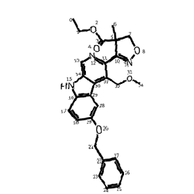 CCOC(=O)C1(C)CON=C1c1ncc2[nH]c3ccc(OCc4ccccc4)cc3c2c1COC